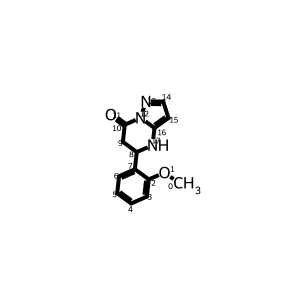 COc1ccccc1C1CC(=O)n2nccc2N1